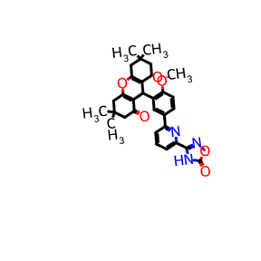 COc1ccc(-c2cccc(-c3noc(=O)[nH]3)n2)cc1C1C2=C(CC(C)(C)CC2=O)OC2=C1C(=O)CC(C)(C)C2